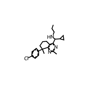 CCCNC(c1nc(C)nc2c1CCCC2(C)c1ccc(Cl)cc1)C1CC1